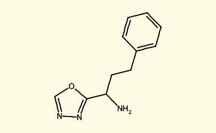 NC(CCc1ccccc1)c1nnco1